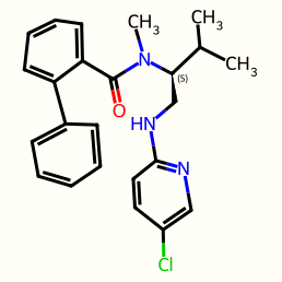 CC(C)[C@@H](CNc1ccc(Cl)cn1)N(C)C(=O)c1ccccc1-c1ccccc1